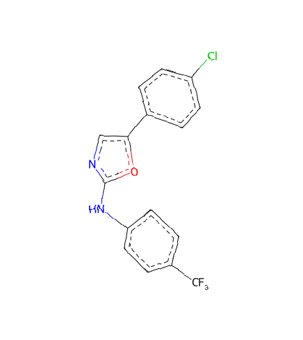 FC(F)(F)c1ccc(Nc2ncc(-c3ccc(Cl)cc3)o2)cc1